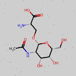 CC(=O)N[C@@H]1[C@H](OC[C@H](N)C(=O)O)O[C@H](CO)[C@H](O)[C@@H]1O